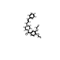 CCOc1ccc(C(=O)N2CCN(C/C=C/c3ccccc3)CC2)cc1OCC